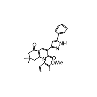 C=C/C(=C(\C)OC)n1c2c(cc(-c3cc(-c4ccccc4)[nH]n3)c1=O)C(=O)CC(C)(C)C2